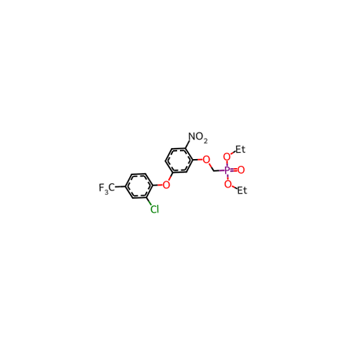 CCOP(=O)(COc1cc(Oc2ccc(C(F)(F)F)cc2Cl)ccc1[N+](=O)[O-])OCC